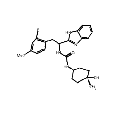 COc1ccc(CC(NC(=O)N[C@H]2CC[C@](C)(O)CC2)c2nc3ccccc3[nH]2)c(F)c1